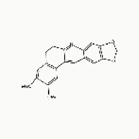 COc1cc2c(cc1OC)-c1cc3cc4c(cc3nc1CC2)OCO4